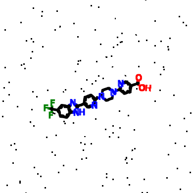 O=C(O)c1ccc(N2CCN(c3ccc(-c4nc5cc(C(F)(F)F)ccc5[nH]4)cn3)CC2)nc1